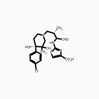 C[C@@H](CN1CC[C@](O)(c2ccc(Cl)cc2)C(C)(C)C1)C(C=O)Nc1nc(C(=O)O)cs1